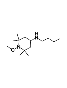 CCCCNC1CC(C)(C)N(OC)C(C)(C)C1